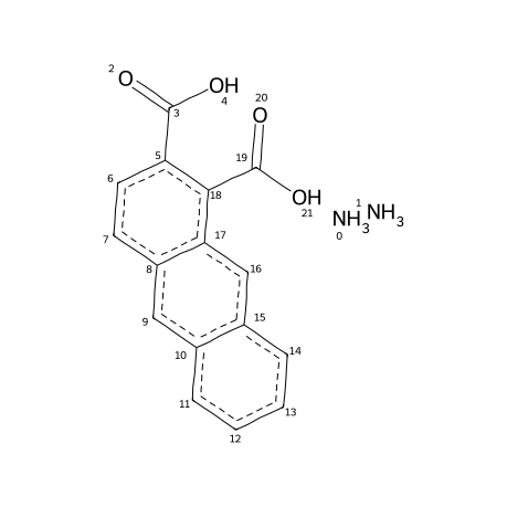 N.N.O=C(O)c1ccc2cc3ccccc3cc2c1C(=O)O